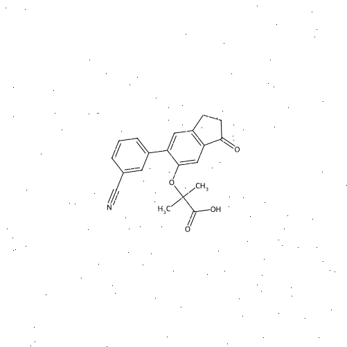 CC(C)(Oc1cc2c(cc1-c1cccc(C#N)c1)CCC2=O)C(=O)O